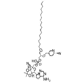 CCCCCCCCCCCCCCCCCCOC[C@H](COP(=O)(O)OCC1(C#N)OC(c2ccc3c(N)ncnn23)[C@@H]2OC(C)(C)O[C@@H]21)OCc1ccc(C#N)nc1